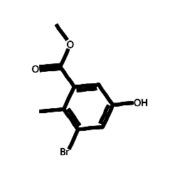 COC(=O)c1cc(O)cc(Br)c1C